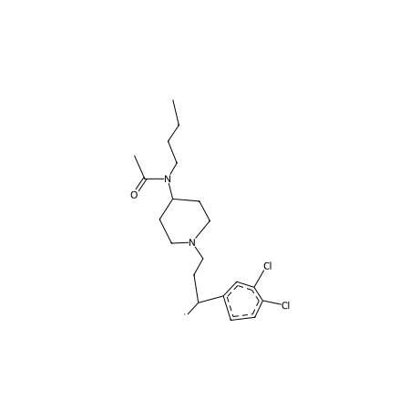 [CH2]C(CCN1CCC(N(CCCC)C(C)=O)CC1)c1ccc(Cl)c(Cl)c1